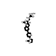 COC(=O)NC[C@@H]1OC(=O)N2c3ccc(-c4ccc(N5CCOC5=O)nc4)cc3C[C@@H]12